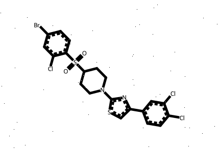 O=S(=O)(c1ccc(Br)cc1Cl)C1CCN(c2nc(-c3ccc(Cl)c(Cl)c3)cs2)CC1